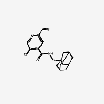 C=Cc1cc(C(=O)NCC23CC4CC(CC(C4)C2)C3)c(Cl)cn1